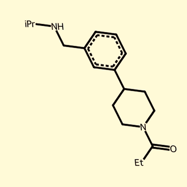 CCC(=O)N1CCC(c2cccc(CNC(C)C)c2)CC1